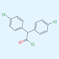 O=C(Cl)C(c1ccc(Cl)cc1)c1ccc(Cl)cc1